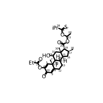 CCC(=O)OC1=C[C@@]2(C)C(=CC1=O)CC[C@H]1[C@@H]3C[C@H](C)[C@H](C(=O)OC(C)OC(=S)C(C)C)[C@@]3(C)C[C@H](O)[C@@]12F